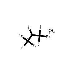 C.FC(C(F)(F)F)C(F)(F)F